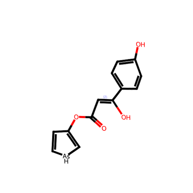 O=C(/C=C(\O)c1ccc(O)cc1)OC1=C[AsH]C=C1